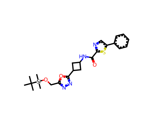 CC(C)(C)[Si](C)(C)OCc1nnc(C2CC(NC(=O)c3ncc(-c4ccccc4)s3)C2)o1